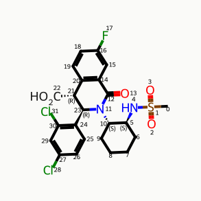 CS(=O)(=O)N[C@H]1CCCC[C@@H]1N1C(=O)c2cc(F)ccc2[C@@H](C(=O)O)[C@@H]1c1ccc(Cl)cc1Cl